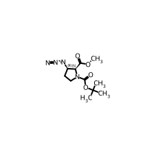 COC(=O)[C@@H]1[C@H](N=[N+]=[N-])CCN1C(=O)OC(C)(C)C